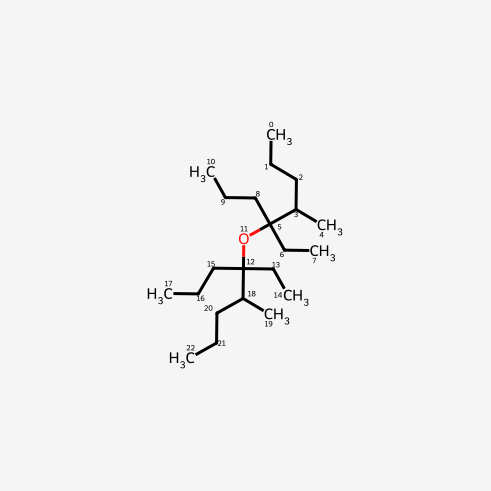 CCCC(C)C(CC)(CCC)OC(CC)(CCC)C(C)CCC